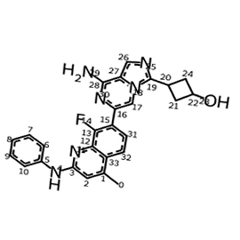 Cc1cc(Nc2ccccc2)nc2c(F)c(-c3cn4c(C5CC(O)C5)ncc4c(N)n3)ccc12